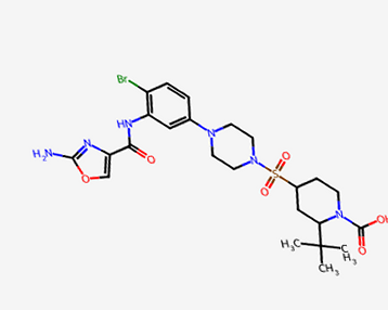 CC(C)(C)C1CC(S(=O)(=O)N2CCN(c3ccc(Br)c(NC(=O)c4coc(N)n4)c3)CC2)CCN1C(=O)O